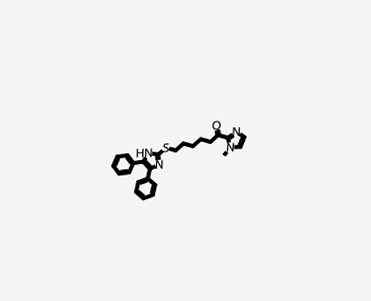 Cn1ccnc1C(=O)CCCCCSc1nc(-c2ccccc2)c(-c2ccccc2)[nH]1